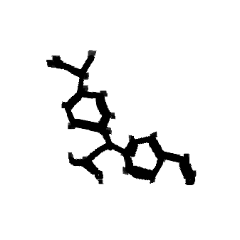 CC(=O)C(c1ccc([C]=O)cc1)c1ccc(C(C)O)cc1